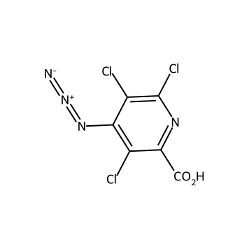 [N-]=[N+]=Nc1c(Cl)c(Cl)nc(C(=O)O)c1Cl